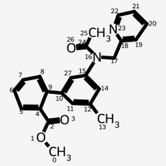 COC(=O)c1ccccc1-c1cc(C)cc(N(Cc2ccccn2)C(C)=O)c1